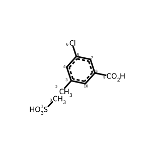 CS(=O)(=O)O.Cc1cc(Cl)cc(C(=O)O)c1